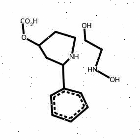 O=C(O)OC1CCNC(c2ccccc2)C1.OCCNO